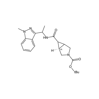 CC(NC(=O)C1C2CN(C(=O)OC(C)(C)C)C[C@H]21)c1nn(C)c2ccccc12